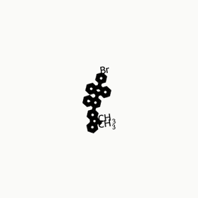 CC1(C)c2ccccc2-c2ccc(-c3ccc(-c4c5ccccc5c(-c5ccc(Br)cc5)c5ccccc45)c4ccccc34)cc21